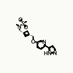 CN(C[C@]12C[C@](COc3ccc(-c4ccn[nH]4)nc3)(C1)C2)S(C)(=O)=O